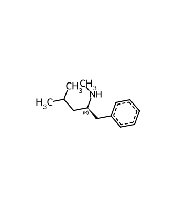 CN[C@@H](Cc1ccccc1)CC(C)C